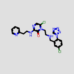 O=c1c(NCCc2ccccn2)ncc(Cl)n1CCNCc1cc(Cl)ccc1-n1cnnn1